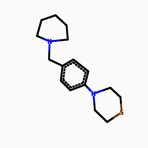 c1cc(N2CCSCC2)ccc1CN1CCCCC1